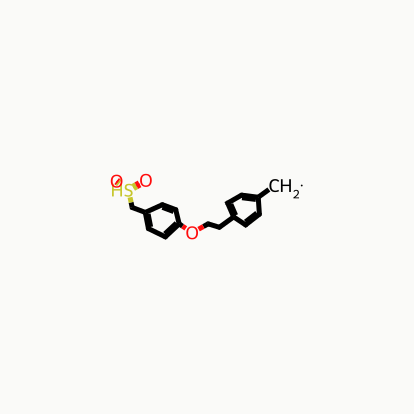 [CH2]c1ccc(CCOc2ccc(C[SH](=O)=O)cc2)cc1